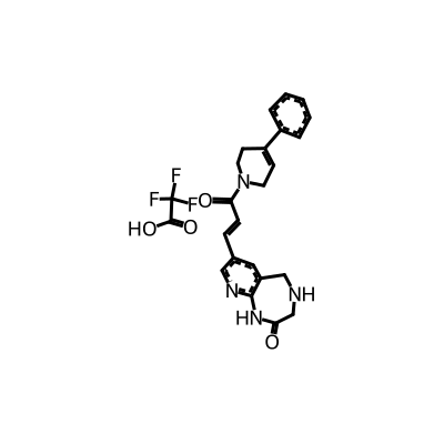 O=C(O)C(F)(F)F.O=C1CNCc2cc(C=CC(=O)N3CC=C(c4ccccc4)CC3)cnc2N1